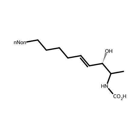 CCCCCCCCCCCCCC=C[C@H](O)C(C)NC(=O)O